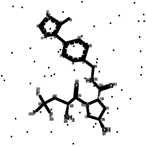 Cc1ncsc1-c1ccc(CNC(=O)[C@@H]2C[C@@H](O)CN2C(=O)[C@@H](N)CC(F)(F)F)cc1